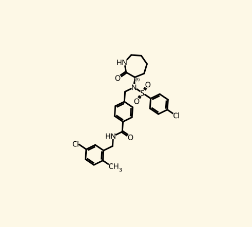 Cc1ccc(Cl)cc1CNC(=O)c1ccc(CN([C@@H]2CCCCNC2=O)S(=O)(=O)c2ccc(Cl)cc2)cc1